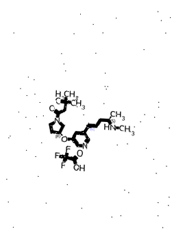 CN[C@@H](C)C/C=C/c1cncc(O[C@@H]2CCN(C(=O)CC(C)(C)C)C2)c1.O=C(O)C(F)(F)F